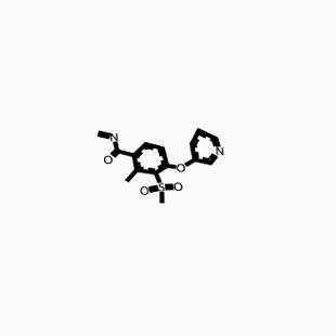 C=NC(=O)c1ccc(Oc2cccnc2)c(S(C)(=O)=O)c1C